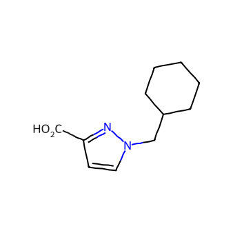 O=C(O)c1ccn(CC2CCCCC2)n1